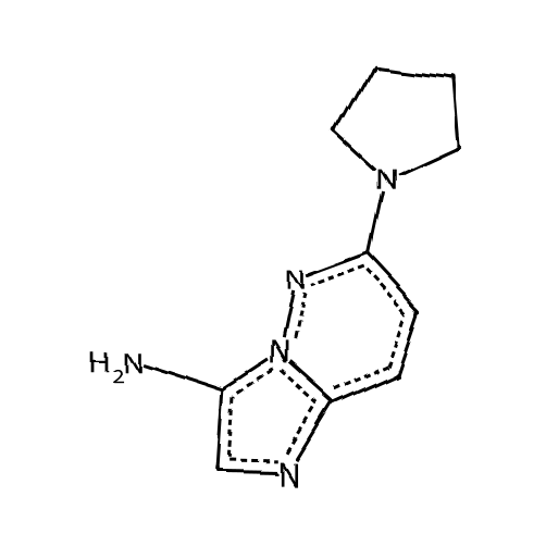 Nc1cnc2ccc(N3CCCC3)nn12